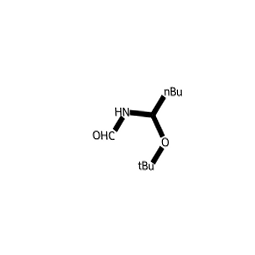 [CH2]CCCC(NC=O)OC(C)(C)C